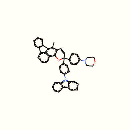 Cc1c2c(c3cccc4c3c1-c1ccccc1-4)OC(c1ccc(N3CCOCC3)cc1)(c1ccc(-n3c4ccccc4c4ccccc43)cc1)C=C2